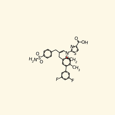 C=NN(/C=C(/Cc1ccc(S(N)(=O)=O)cc1)Cc1ccc(C)c(-c2cc(F)cc(F)c2)c1)c1nc(C(=O)O)cs1